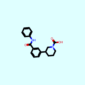 O=C(Nc1ccccc1)c1cccc(C2CCCN(C(=O)O)C2)c1